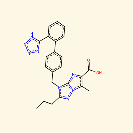 CCCc1nn2c(C)c(C(=O)O)nc2n1Cc1ccc(-c2ccccc2-c2nnn[nH]2)cc1